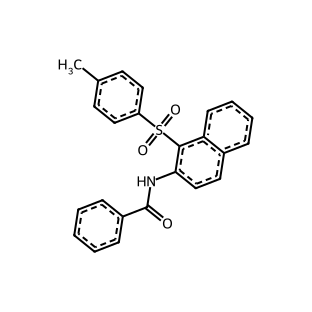 Cc1ccc(S(=O)(=O)c2c(NC(=O)c3ccccc3)ccc3ccccc23)cc1